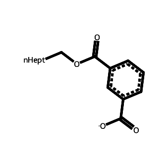 CCCCCCCCOC(=O)c1cccc(C([O])=O)c1